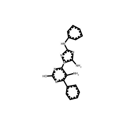 Nc1c(-c2ccccc2)nc(O)nc1-n1nc(Nc2ccccc2)nc1N